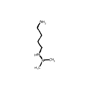 CN(C)NCCCCN